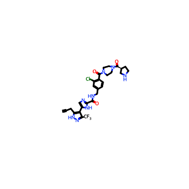 C#CCc1[nH]nc(C(F)(F)F)c1-c1cnc(C(=O)NCc2ccc(C(=O)N3CCN(C(=O)[C@H]4CCNC4)CC3)c(Cl)c2)[nH]1